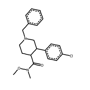 CON(C)C(=O)C1CCN(Cc2ccccc2)CC1c1ccc(Cl)cc1